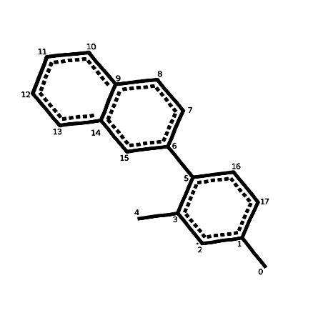 Cc1[c]c(C)c(-c2ccc3ccccc3c2)cc1